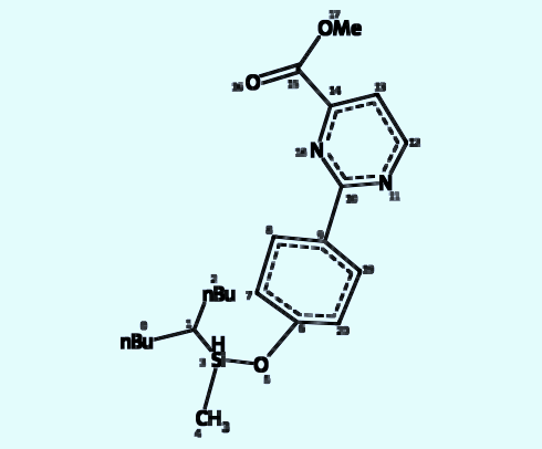 CCCCC(CCCC)[SiH](C)Oc1ccc(-c2nccc(C(=O)OC)n2)cc1